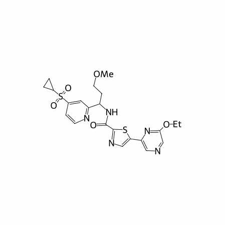 CCOc1cncc(-c2cnc(C(=O)NC(CCOC)c3cc(S(=O)(=O)C4CC4)ccn3)s2)n1